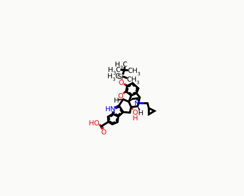 CC(C)(C)[Si](C)(C)Oc1ccc2c3c1O[C@H]1c4[nH]c5cc(C(=O)O)ccc5c4C[C@@]4(O)[C@@H](C2)N(CC2CC2)CC[C@]314